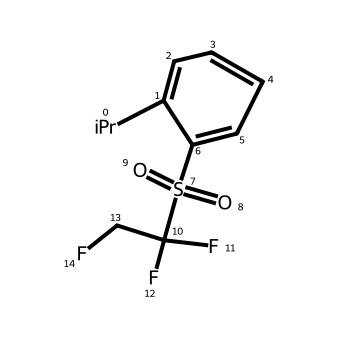 CC(C)c1ccccc1S(=O)(=O)C(F)(F)CF